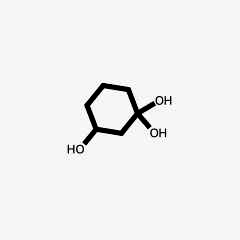 OC1CCCC(O)(O)C1